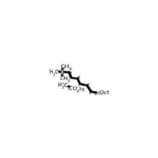 CC(=O)O.CCCCCCCCCCCCCC[N+](C)(C)C